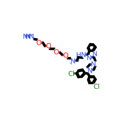 CN(CCCNc1nc(CN2CCN(C(c3ccc(Cl)cc3)c3ccc(Cl)cc3)CC2)nc2ccccc12)CCOCCOCCOCCOCCN=[N+]=[N-]